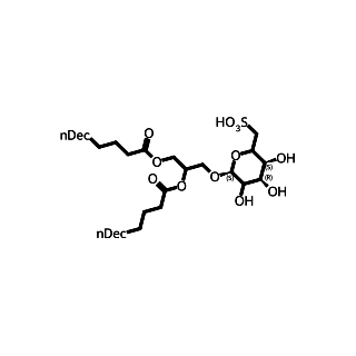 CCCCCCCCCCCCCC(=O)OCC(CO[C@H]1OC(CS(=O)(=O)O)[C@@H](O)[C@@H](O)C1O)OC(=O)CCCCCCCCCCCCC